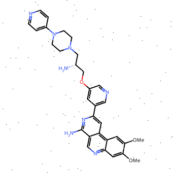 COc1cc2ncc3c(N)nc(-c4cncc(OC[C@H](N)CN5CCN(c6ccncc6)CC5)c4)cc3c2cc1OC